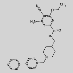 CCOc1nc(C(=O)NCC2CCN(Cc3ccc(-c4ccncc4)cc3)CC2)cc(N)c1C#N